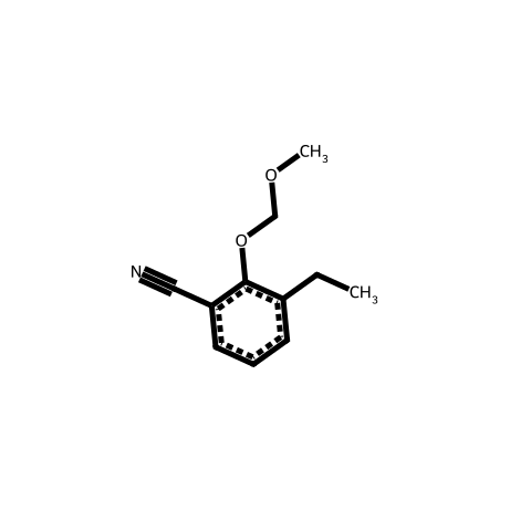 CCc1cccc(C#N)c1OCOC